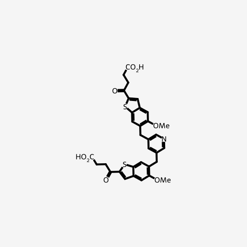 COc1cc2cc(C(=O)CCC(=O)O)sc2cc1Cc1cncc(Cc2cc3sc(C(=O)CCC(=O)O)cc3cc2OC)c1